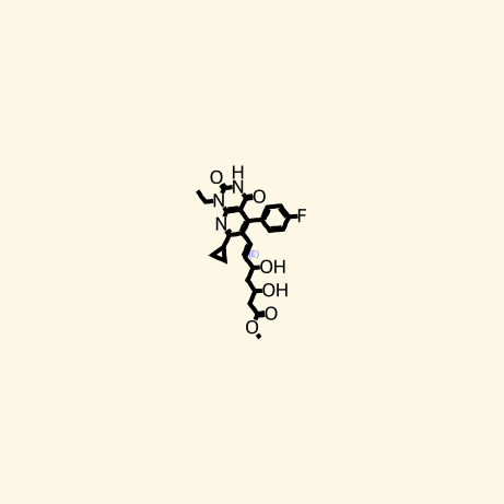 CCn1c(=O)[nH]c(=O)c2c(-c3ccc(F)cc3)c(/C=C/C(O)CC(O)CC(=O)OC)c(C3CC3)nc21